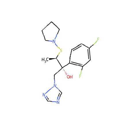 C[C@@H](SN1CCCC1)[C@](O)(Cn1cncn1)c1ccc(F)cc1F